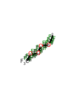 CC(F)(F)C(F)(F)C(F)(F)OC(F)(F)C(F)(F)OC(F)(F)C(F)(F)OC(F)(F)C(F)(F)OC(F)(F)C(F)(F)C(F)(F)F